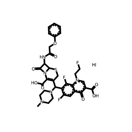 CN1CCN(C(C2=C(C(=O)O)N3C(=O)C(NC(=O)COc4ccccc4)C3SC2)c2c(F)cc3c(=O)c(C(=O)O)cn(CCF)c3c2F)CC1.I